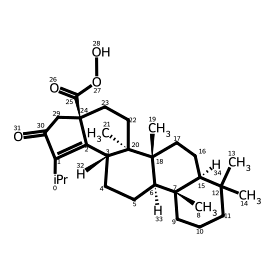 CC(C)C1=C2[C@H]3CC[C@@H]4[C@@]5(C)CCCC(C)(C)[C@@H]5CC[C@@]4(C)[C@]3(C)CC[C@@]2(C(=O)OO)CC1=O